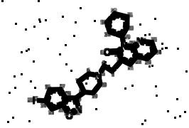 O=c1c(CCN2CCC(c3noc4cc(F)ccc34)CC2)cc2cccnc2n1-c1ccccc1